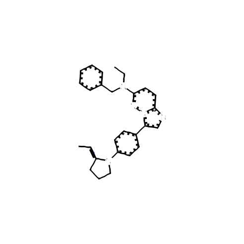 C/C=C1\CCCN1c1ccc(-c2cnc3ccc(N(CC)Cc4ccccc4)nn23)cc1